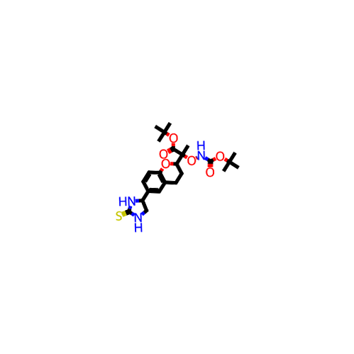 CC(C)(C)OC(=O)NOC(C)(C(=O)OC(C)(C)C)C1CCc2cc(C3CNC(=S)N3)ccc2O1